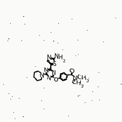 CN(C)C(=O)c1ccc(Oc2nc(-c3cnc(N)s3)nc(N3CCCCC3)n2)cc1